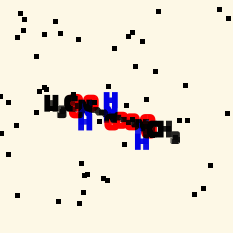 COC(=O)CNC(=O)CCCCCNC(=O)COCCOCCNC(=O)OC